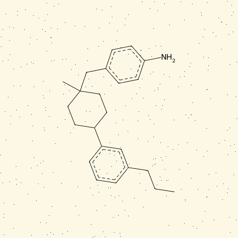 CCCc1cccc(C2CCC(C)(Cc3ccc(N)cc3)CC2)c1